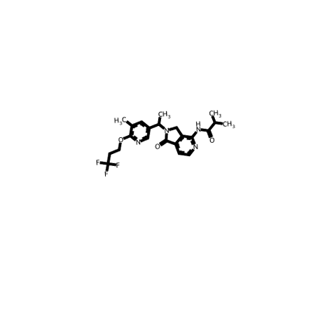 Cc1cc(C(C)N2Cc3c(ccnc3NC(=O)C(C)C)C2=O)cnc1OCCC(F)(F)F